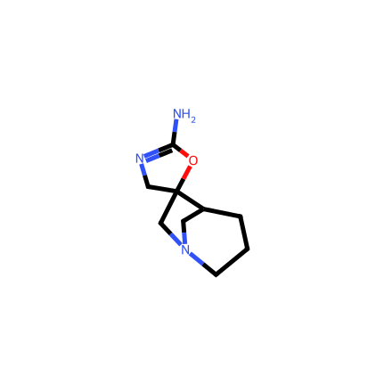 NC1=NCC2(CN3CCCC2C3)O1